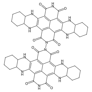 O=C1NC(=O)c2c3c(c4c5c(c6c(c1c25)NC1CCCCC1N6)C(=O)N(N1C(=O)c2c5c(c6c7c(c8c(c(c27)C1=O)NC1CCCCC1N8)C(=O)NC6=O)NC1CCCCC1N5)C4=O)NC1CCCCC1N3